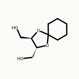 OC[C@H]1OC2(CCCCC2)O[C@@H]1CO